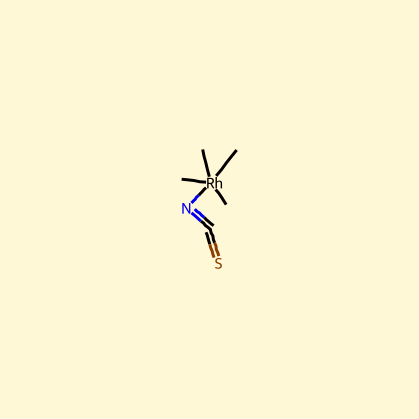 [CH3][Rh]([CH3])([CH3])([CH3])[N]=C=S